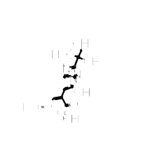 CCC(C)(C)c1nc2sc(/C(=C/OC)C(=O)OC)c(C)n2n1